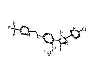 COc1cc(OCc2ccc(C(F)(F)F)cn2)ccc1-c1[nH]c(-c2ccc(Cl)nc2)nc1I